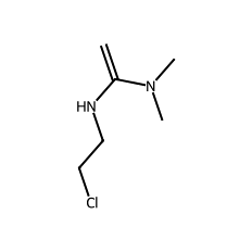 C=C(NCCCl)N(C)C